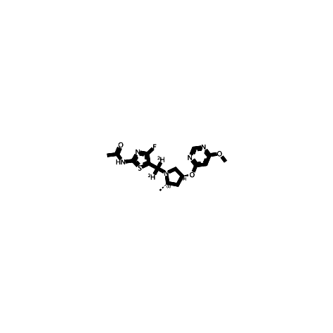 [2H]C([2H])(c1sc(NC(C)=O)nc1F)N1C[C@H](Oc2cc(OC)ncn2)C[C@@H]1C